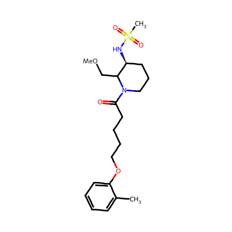 COCC1[C@@H](NS(C)(=O)=O)CCCN1C(=O)CCCCOc1ccccc1C